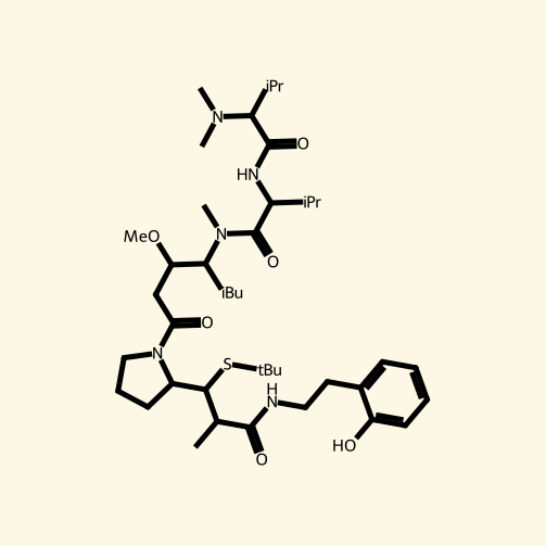 CCC(C)C(C(CC(=O)N1CCCC1C(SC(C)(C)C)C(C)C(=O)NCCc1ccccc1O)OC)N(C)C(=O)C(NC(=O)C(C(C)C)N(C)C)C(C)C